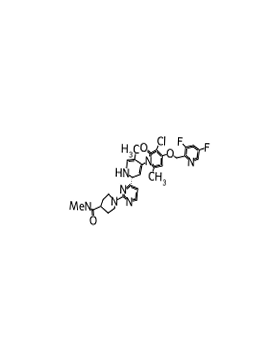 CNC(=O)C1CCN(c2nccc([C@H]3C=C(n4c(C)cc(OCc5ncc(F)cc5F)c(Cl)c4=O)C(C)=CN3)n2)CC1